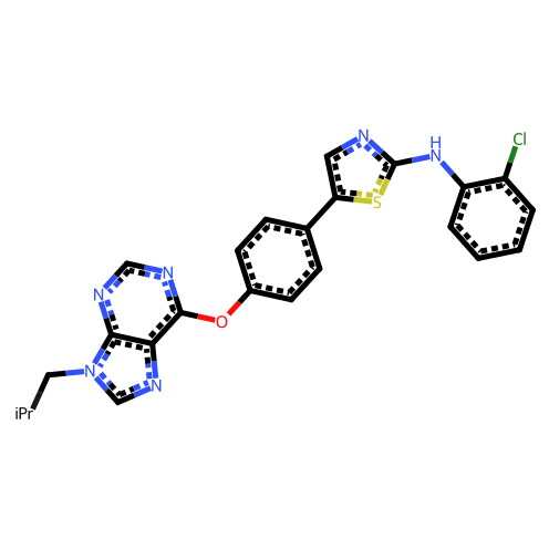 CC(C)Cn1cnc2c(Oc3ccc(-c4cnc(Nc5ccccc5Cl)s4)cc3)ncnc21